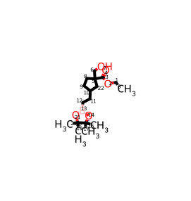 CCOC(=O)C1(CO)CCC(CCB2OC(C)(C)C(C)(C)O2)C1